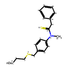 CCCCCCCCCCCCSCc1ccc(N(C)C(=S)Cc2ccccc2)cc1